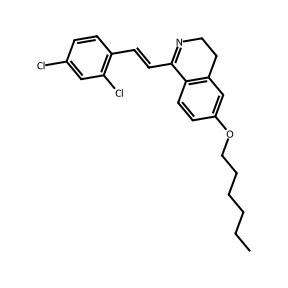 CCCCCCOc1ccc2c(c1)CCN=C2/C=C/c1ccc(Cl)cc1Cl